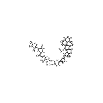 O=C1CCN(c2cc(C(=O)N3CCC4(CCC(CN5CCC(n6cc(-c7cc8c(ncc9c(=O)n(-c%10c(Cl)cccc%10Cl)c(=O)n(C%10CC%10)c98)[nH]7)cn6)CC5)CC4)CC3)ccc2Cl)C(=O)N1